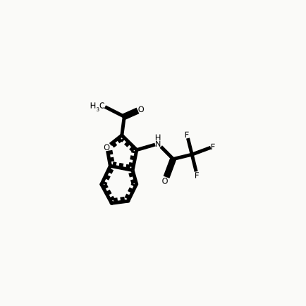 CC(=O)c1oc2ccccc2c1NC(=O)C(F)(F)F